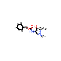 COC(=O)C(CNC(C)C)NC(=O)OCc1ccccc1